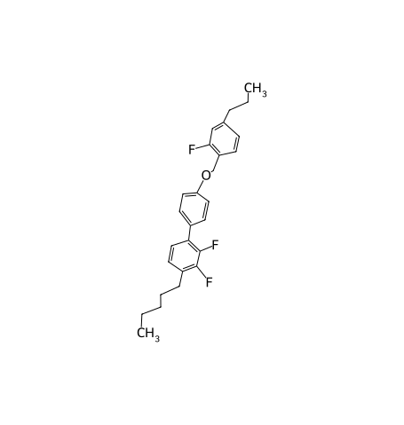 CCCCCc1ccc(-c2ccc(OCc3ccc(CCC)cc3F)cc2)c(F)c1F